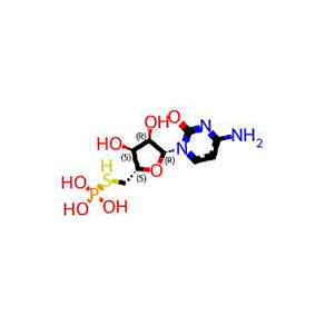 Nc1ccn([C@@H]2O[C@H](C[SH]=P(O)(O)O)[C@@H](O)[C@H]2O)c(=O)n1